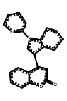 O=c1cc(-c2cn(-c3ccccn3)c3ccccc23)c2ccccc2o1